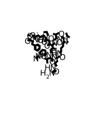 CCC(C)C(C(CC(=O)N1CCC[C@H]1[C@H](OC)[C@@H](C)C(=O)NC(Cc1ccccc1)C(=O)OC)OC)N(C)C(=O)[C@@H](NC(=O)[C@H](C(C)C)N(C)C(=O)CCCNC(=O)[C@@H](CCCNC(N)=O)NC(=O)[C@H](NC(=O)CCCN=[N+]=[N-])C(C)C)C(C)C